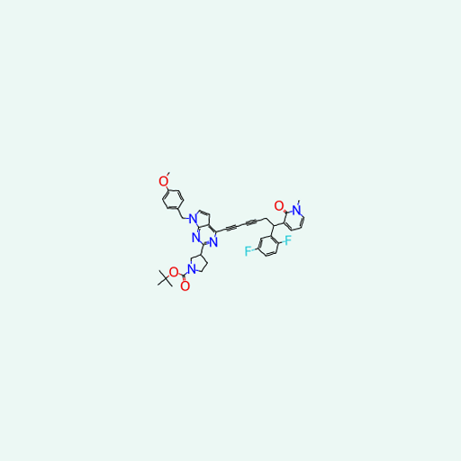 COc1ccc(Cn2ccc3c(C#CC#CCC(c4cc(F)ccc4F)c4cccn(C)c4=O)nc(C4CCN(C(=O)OC(C)(C)C)C4)nc32)cc1